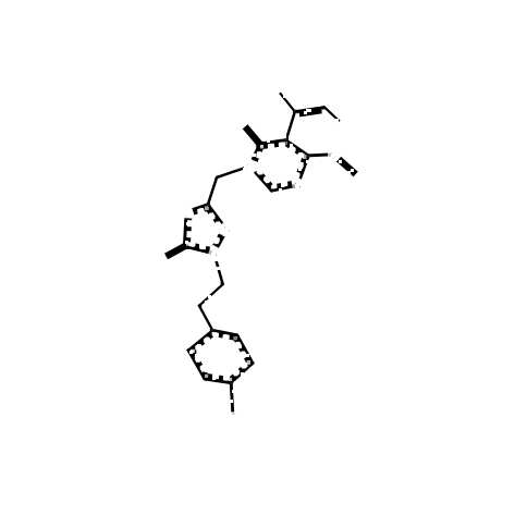 C=Nc1ncn(Cc2nn(CCc3ccc(Cl)cc3)c(=O)o2)c(=O)c1/C(C)=C\C